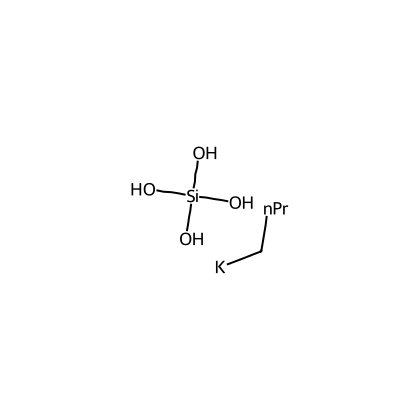 CCC[CH2][K].O[Si](O)(O)O